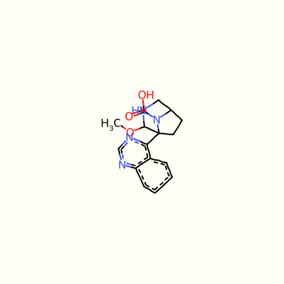 COC1NCC2CCC1(c1ncnc3ccccc13)N2C(=O)O